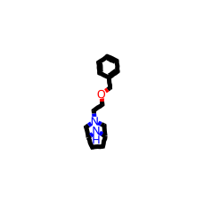 c1ccc(COCCN2CC3CCC(C2)N3)cc1